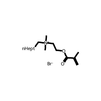 C=C(C)C(=O)OCC[N+](C)(C)CCCCCCCC.[Br-]